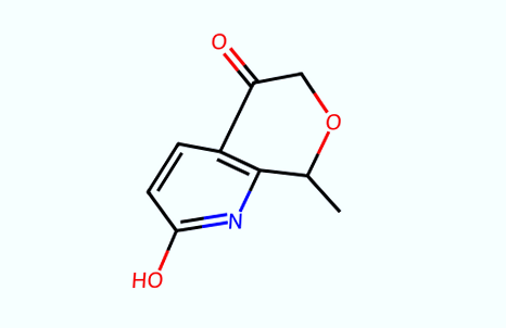 CC1OCC(=O)c2ccc(O)nc21